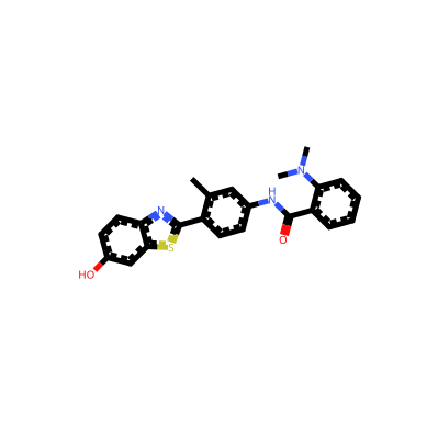 Cc1cc(NC(=O)c2ccccc2N(C)C)ccc1-c1nc2ccc(O)cc2s1